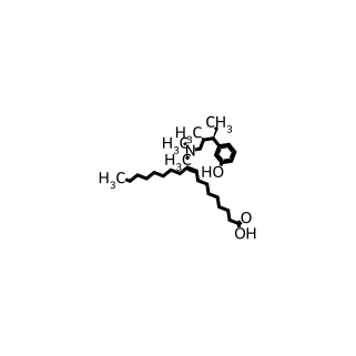 CCCCCCCC/C=C\CCCCCCCC(=O)O.CC[C@@H](c1cccc(O)c1)[C@@H](C)CN(C)C